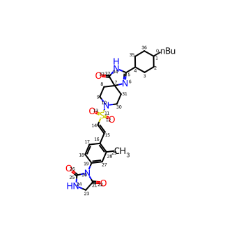 CCCCC1CCC(C2=NC3(CCN(S(=O)(=O)/C=C/c4ccc(N5C(=O)CNC5=O)cc4C)CC3)C(=O)N2)CC1